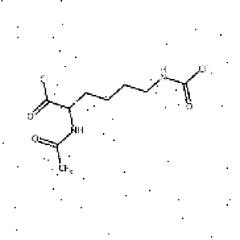 O=C(Cl)C(CCCCNC(=O)C(F)(F)F)NC(=O)C(F)(F)F